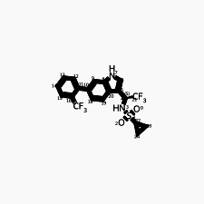 O=S(=O)(N[C@@H](c1c[nH]c2cc(-c3ccccc3C(F)(F)F)ccc12)C(F)(F)F)C1CC1